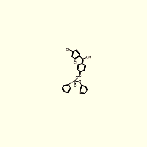 N#CC(=C1C=CC(=NOP(=O)(Oc2ccccc2)Oc2ccccc2)C=C1)c1ccc(Cl)cc1Cl